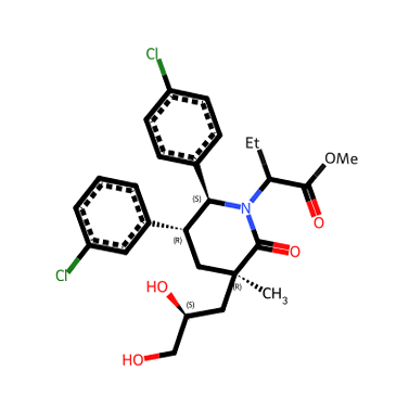 CCC(C(=O)OC)N1C(=O)[C@@](C)(C[C@H](O)CO)C[C@H](c2cccc(Cl)c2)[C@H]1c1ccc(Cl)cc1